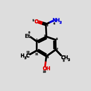 CCc1c(C(N)=O)cc(C)c(O)c1C